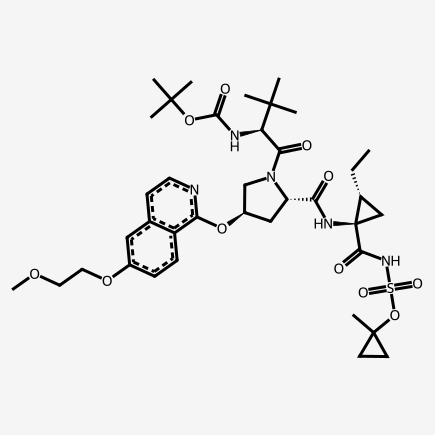 CC[C@@H]1C[C@]1(NC(=O)[C@@H]1C[C@@H](Oc2nccc3cc(OCCOC)ccc23)CN1C(=O)[C@@H](NC(=O)OC(C)(C)C)C(C)(C)C)C(=O)NS(=O)(=O)OC1(C)CC1